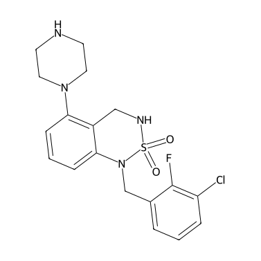 O=S1(=O)NCc2c(N3CCNCC3)cccc2N1Cc1cccc(Cl)c1F